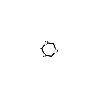 [CH]1OCOCO1